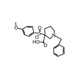 COc1ccc(S(=O)(=O)C2(C(=O)O)CCCN(Cc3ccccc3)C2)cc1